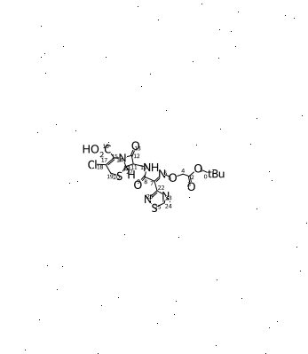 CC(C)(C)OC(=O)CON=C(C(=O)NC1C(=O)N2C(C(=O)O)=C(Cl)CS[C@@H]12)c1ncsn1